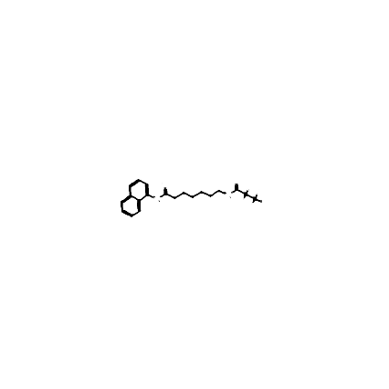 O=C(CCCCCCNC(=O)C(O)(O)C(F)(F)F)Nc1cccc2ccccc12